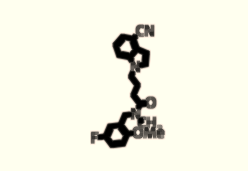 COc1ccc(F)cc1CN(C)C(=O)CCCn1ccc2c(C#N)cccc21